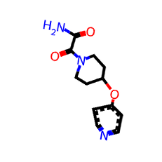 NC(=O)C(=O)N1CCC(Oc2ccncc2)CC1